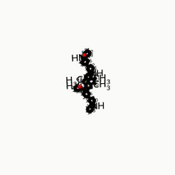 CC1c2cc3c4cc(-c5ccc6c(c5)C5C=CC=CC5N6)ccc4n(-c4ccccc4)c3c3c2-c2c(cc4c([nH]c5ccc(-c6ccc7[nH]c8ccccc8c7c6)cc54)c2C1C)C(C)C3C